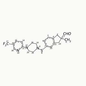 CC1(C=O)Cc2ccc(SN3CCN(c4ccc(C(F)(F)F)cn4)CC3)cc2C1